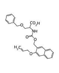 C=CCOc1cc2ccccc2cc1COC(=O)NC(COCc1ccccc1)C(=O)O